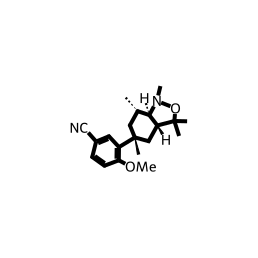 COc1ccc(C#N)cc1[C@@]1(C)C[C@@H]2[C@@H]([C@@H](C)C1)N(C)OC2(C)C